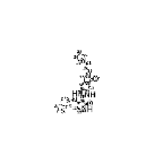 Cc1ccsc1CC(C)Nc1cc[nH]c(=O)c1-c1nc2cc3c(cc2[nH]1)C(=O)N(CCCN1CCCC1)C3